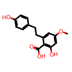 COc1cc(O)c(C(=O)O)c(CCc2ccc(O)cc2)c1